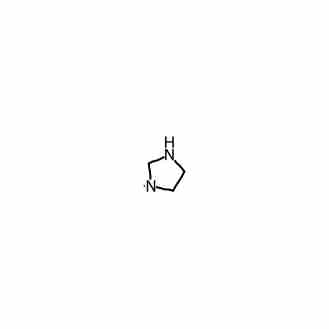 C1CNC[N]1